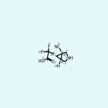 N#C[C@@]12CNC[C@@H]1C2.O=C(O)C(F)(F)F